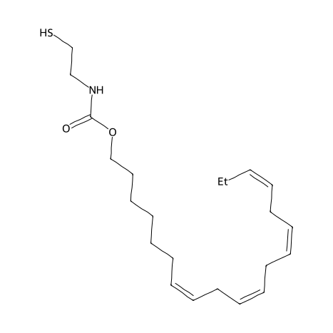 CC/C=C\C/C=C\C/C=C\C/C=C\CCCCCCOC(=O)NCCS